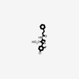 O=C(CCc1ccccc1)Nc1csc(-c2ccc(Cl)cc2F)c1C(=O)O